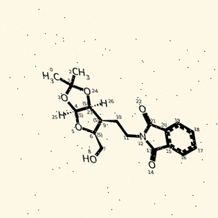 CC1(C)O[C@@H]2O[C@H](CO)[C@H](CCN3C(=O)c4ccccc4C3=O)[C@@H]2O1